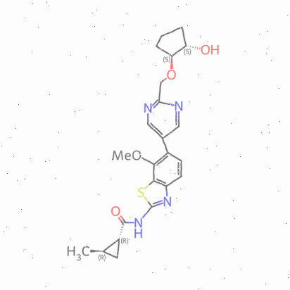 COc1c(-c2cnc(CO[C@H]3CCC[C@@H]3O)nc2)ccc2nc(NC(=O)[C@@H]3C[C@H]3C)sc12